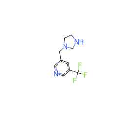 FC(F)(F)c1cncc(CN2CCNC2)c1